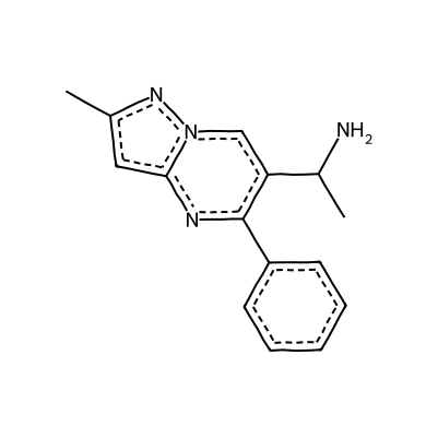 Cc1cc2nc(-c3ccccc3)c(C(C)N)cn2n1